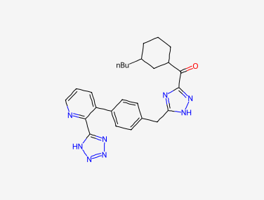 CCCCC1CCCC(C(=O)c2n[nH]c(Cc3ccc(-c4cccnc4-c4nnn[nH]4)cc3)n2)C1